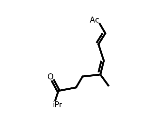 CC(=O)C=CC=C(C)CCC(=O)C(C)C